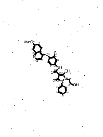 COc1ccc2c(Oc3ccc(NC(=O)c4c(C)n(CCO)n(-c5ccccc5)c4=O)cc3F)ccnc2c1